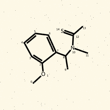 COc1ccccc1C(C)N(C)C(C)=S